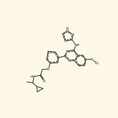 CCOc1ccc2nc(-c3cccc(OCC(=O)NC(C)C4CC4)c3)nc(Nc3cc[nH]n3)c2c1